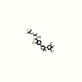 CC(CNCC(F)(F)F)NC(=O)c1ccc(/C(F)=C/C(c2cc(Cl)c(Cl)c(Cl)c2)C(F)(F)F)cc1Cl